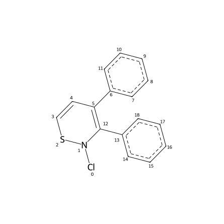 ClN1SC=CC(c2ccccc2)=C1c1ccccc1